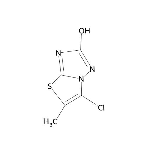 Cc1sc2nc(O)nn2c1Cl